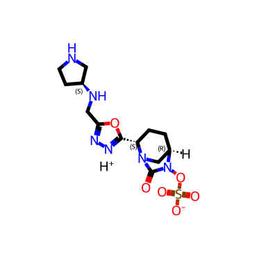 O=C1N2C[C@@H](CC[C@H]2c2nnc(CN[C@H]3CCNC3)o2)N1OS(=O)(=O)[O-].[H+]